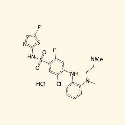 CNCCN(C)c1ccccc1Nc1cc(F)c(S(=O)(=O)Nc2ncc(F)s2)cc1Cl.Cl